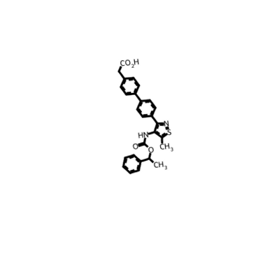 Cc1snc(-c2ccc(-c3ccc(CC(=O)O)cc3)cc2)c1NC(=O)OC(C)c1ccccc1